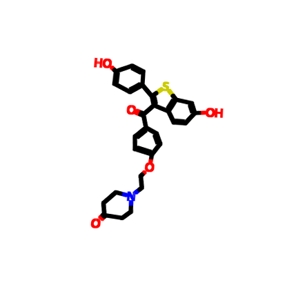 O=C1CCN(CCOc2ccc(C(=O)c3c(-c4ccc(O)cc4)sc4cc(O)ccc34)cc2)CC1